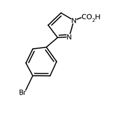 O=C(O)n1ccc(-c2ccc(Br)cc2)n1